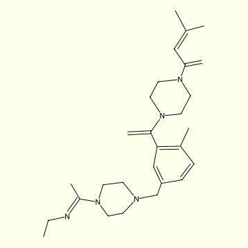 C=C(C=C(C)C)N1CCN(C(=C)c2cc(CN3CCN(/C(C)=N/CC)CC3)ccc2C)CC1